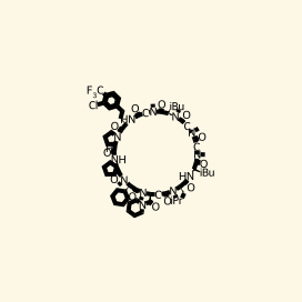 CC[C@H](C)[C@@H]1NC(=O)[C@H](CC(C)C)N(C)C(=O)C[C@@H](C(=O)N2CCCCC2)N(C)C(=O)[C@H](C2CCCCC2)N(C)C(=O)C2(CCCC2)NC(=O)[C@@H]2CCCN2C(=O)[C@H](CCc2ccc(C(F)(F)F)c(Cl)c2)NC(=O)CN(C)C(=O)[C@H]([C@@H](C)CC)N(C)C(=O)CN(C)C(=O)CN(C)C1=O